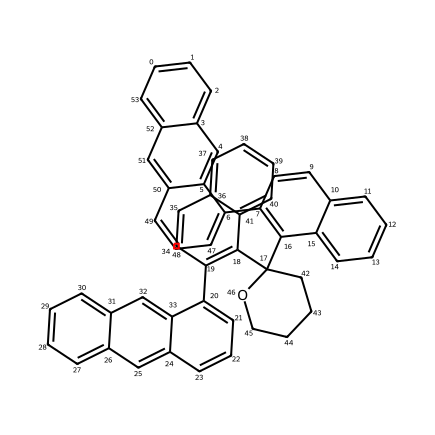 c1ccc2cc3c(-c4ccc5ccccc5c4C4(c5c(-c6cccc7cc8ccccc8cc67)ccc6ccccc56)CCCCO4)cccc3cc2c1